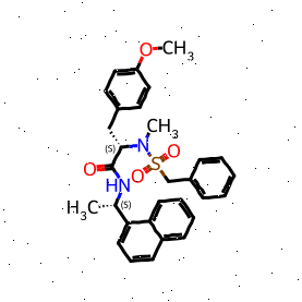 COc1ccc(C[C@@H](C(=O)N[C@@H](C)c2cccc3ccccc23)N(C)S(=O)(=O)Cc2ccccc2)cc1